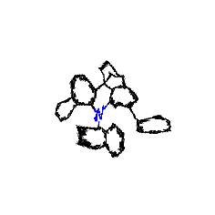 c1ccc(-c2cc3c4c(c2)N(c2cccc5ccccc25)c2c(ccc5ccccc25)C42CCC3C2)cc1